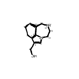 CC(C)Cc1cn2c3c1CCC=C3CNCC2